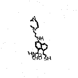 CN(C)/C=C\N(C)CCCNc1ccc(C(=O)NC=O)c2c(CCS)cccc12